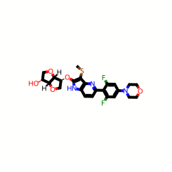 CSc1c(O[C@@H]2CO[C@H]3[C@@H]2OC[C@H]3O)[nH]c2ccc(-c3c(F)cc(N4CCOCC4)cc3F)nc12